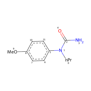 [CH2]CCN(C(N)=O)c1ccc(OC)cc1